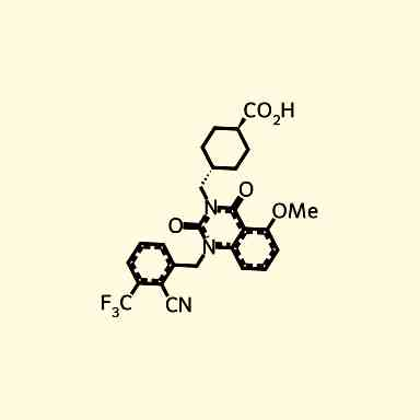 COc1cccc2c1c(=O)n(C[C@H]1CC[C@H](C(=O)O)CC1)c(=O)n2Cc1cccc(C(F)(F)F)c1C#N